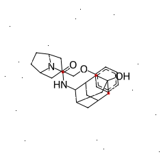 O=C(NC1C2CC3CC1CC(O)(C3)C2)N1C2CCC1CC(COc1ccccc1)C2